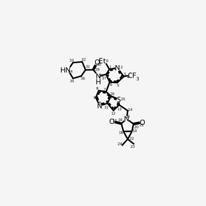 CCc1nc(C(F)(F)F)cc(-c2ccnc3cc(CN4C(=O)C5C(C4=O)C5(C)C)sc23)c1NC(=O)C1CCNCC1